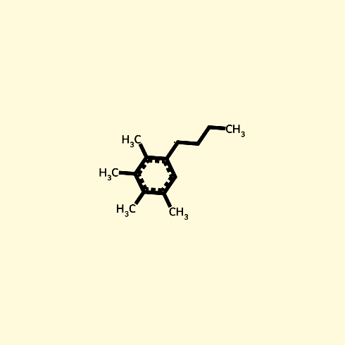 CCC[CH]c1cc(C)c(C)c(C)c1C